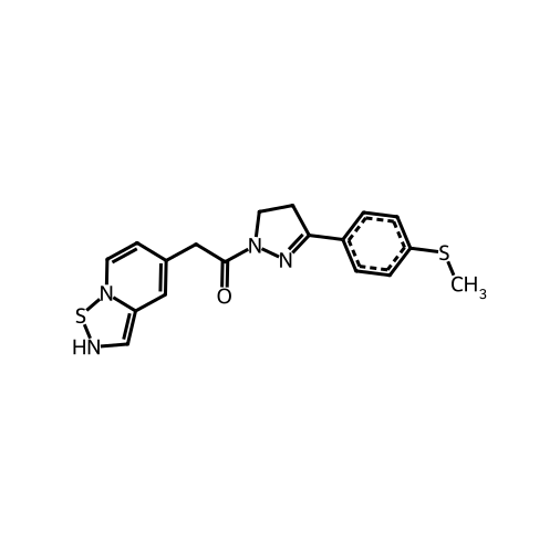 CSc1ccc(C2=NN(C(=O)CC3=CC4=CNSN4C=C3)CC2)cc1